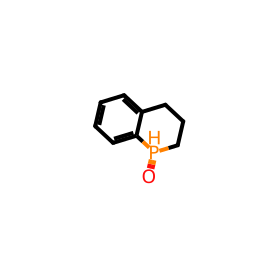 O=[PH]1CCCc2ccccc21